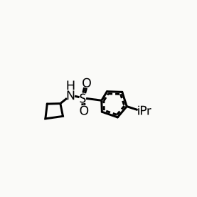 CC(C)c1ccc(S(=O)(=O)NC2CCC2)cc1